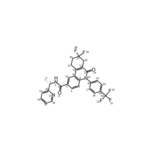 C[C@H](NC(=O)c1ccc2c(c1)c1c(c(=O)n2-c2ccc(C(F)(F)F)cc2)CC(F)(F)CC1)c1ccccn1